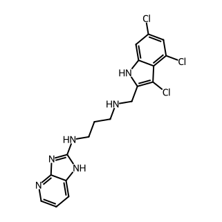 Clc1cc(Cl)c2c(Cl)c(CNCCCNc3nc4ncccc4[nH]3)[nH]c2c1